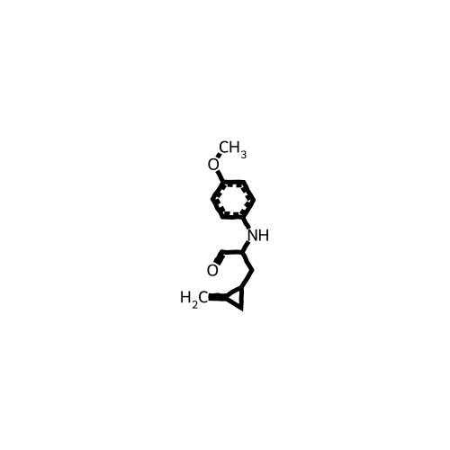 C=C1CC1CC(C=O)Nc1ccc(OC)cc1